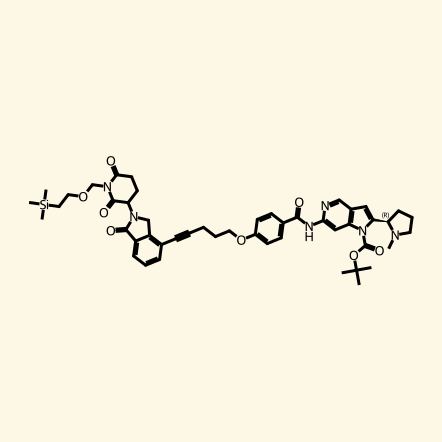 CN1CCC[C@@H]1c1cc2cnc(NC(=O)c3ccc(OCCCC#Cc4cccc5c4CN(C4CCC(=O)N(COCC[Si](C)(C)C)C4=O)C5=O)cc3)cc2n1C(=O)OC(C)(C)C